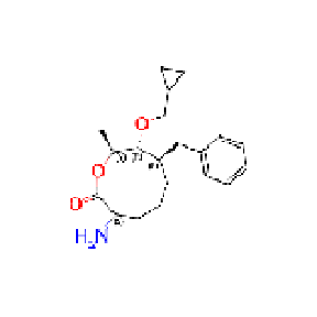 C[C@@H]1OC(=O)[C@@H](N)CCC[C@H](Cc2ccccc2)[C@H]1OCC1CC1